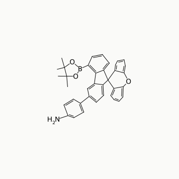 CC1(C)OB(c2cccc3c2-c2cc(-c4ccc(N)cc4)ccc2C32c3ccccc3Oc3ccccc32)OC1(C)C